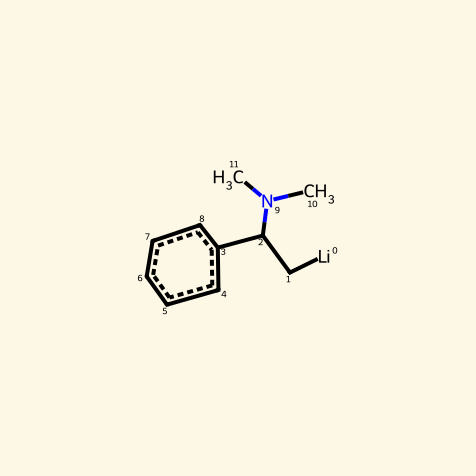 [Li][CH2]C(c1ccccc1)N(C)C